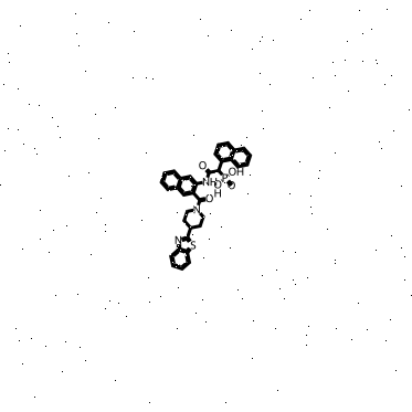 O=C(Nc1cc2ccccc2cc1C(=O)N1CCC(c2nc3ccccc3s2)CC1)C(c1cccc2ccccc12)P(=O)(O)O